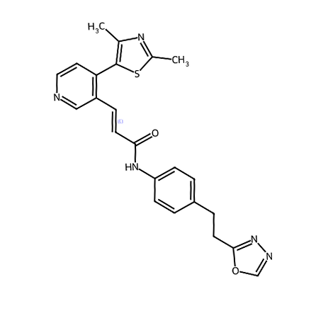 Cc1nc(C)c(-c2ccncc2/C=C/C(=O)Nc2ccc(CCc3nnco3)cc2)s1